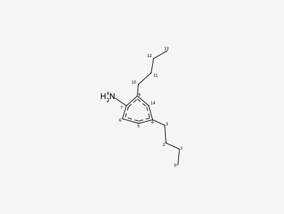 CCCCc1ccc(N)c(CCCC)c1